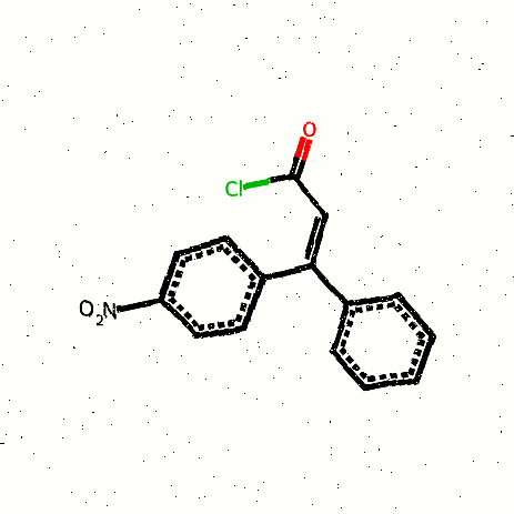 O=C(Cl)C=C(c1ccccc1)c1ccc([N+](=O)[O-])cc1